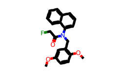 COc1ccc(OC)c(CN(C(=O)CF)c2cccc3ccccc23)c1